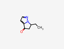 CCC1CC(=O)c2ccnn21